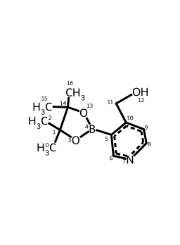 CC1(C)OB(c2cnccc2CO)OC1(C)C